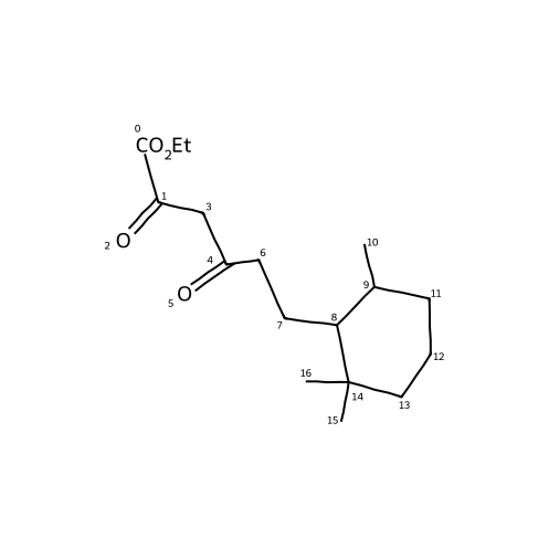 CCOC(=O)C(=O)CC(=O)CCC1C(C)CCCC1(C)C